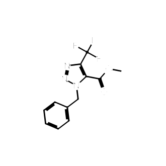 COC(=O)c1c(C(F)(F)F)nnn1Cc1ccccc1